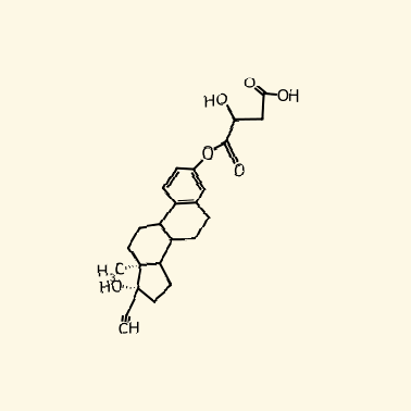 C#C[C@]1(O)CCC2C3CCc4cc(OC(=O)C(O)CC(=O)O)ccc4C3CC[C@@]21C